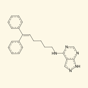 C(CCCCNc1ncnc2[nH]ncc12)=C(c1ccccc1)c1ccccc1